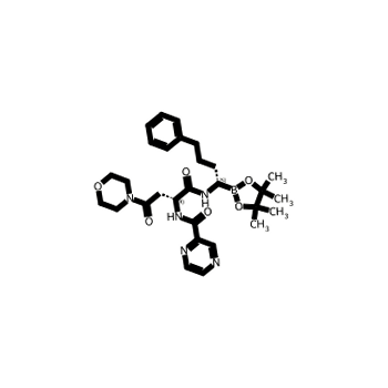 CC1(C)OB([C@@H](CCCc2ccccc2)NC(=O)[C@@H](CC(=O)N2CCOCC2)NC(=O)c2cnccn2)OC1(C)C